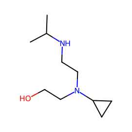 CC(C)NCCN(CCO)C1CC1